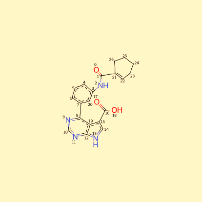 O=C(Nc1cccc(-c2ncnc3[nH]cc(C(=O)O)c23)c1)C1=CCCCC1